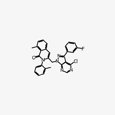 Cc1ccccc1-n1c(Cn2nc(-c3cccc(F)c3)c3c(Cl)ncnc32)cc2cccc(C)c2c1=O